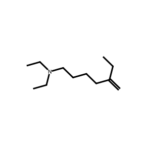 C=C(CC)CCCCN(CC)CC